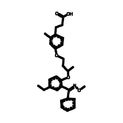 CCc1ccc(OC(C)CCOc2ccc(CCC(=O)O)c(C)c2)c(C(=NOC)c2ccccc2)c1